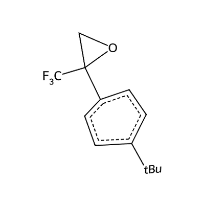 CC(C)(C)c1ccc(C2(C(F)(F)F)CO2)cc1